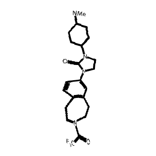 CNC1CCC(N2CCN(c3ccc4c(c3)CCN(C(=O)C(F)(F)F)CC4)C2=O)CC1